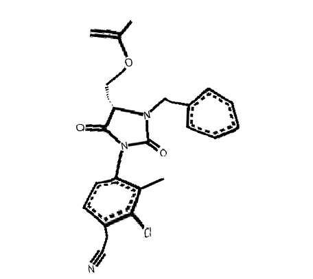 C=C(C)OC[C@H]1C(=O)N(c2ccc(C#N)c(Cl)c2C)C(=O)N1Cc1ccccc1